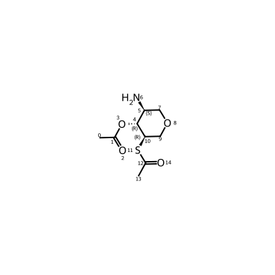 CC(=O)O[C@@H]1[C@@H](N)COC[C@H]1SC(C)=O